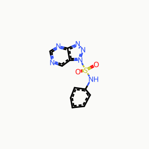 O=S(=O)(Nc1ccccc1)n1nnc2ncncc21